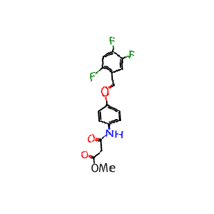 COC(=O)CC(=O)Nc1ccc(OCc2cc(F)c(F)cc2F)cc1